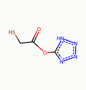 O=C(CS)Oc1nnn[nH]1